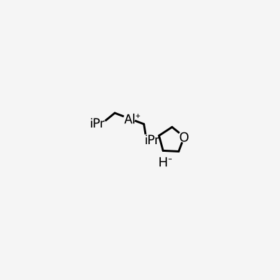 C1CCOC1.CC(C)[CH2][Al+][CH2]C(C)C.[H-]